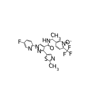 Cc1ncc(-c2nn(-c3ccc(F)cn3)cc2C(=O)N[C@H](C)c2ccc(C(F)(F)F)[n+]([O-])c2)s1